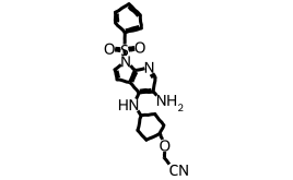 N#CCOC1CCC(Nc2c(N)cnc3c2ccn3S(=O)(=O)c2ccccc2)CC1